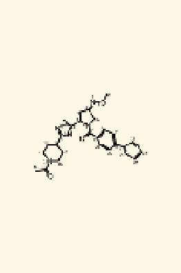 CON=C1CC(c2nc(C3CCN(C(C)=O)CC3)no2)N(C(=O)c2ccc(-c3ccccc3)cc2)C1